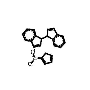 C1=CC(C2C=Cc3ccccc32)c2ccccc21.[Cl][Zr]([Cl])[C]1=CC=CC1